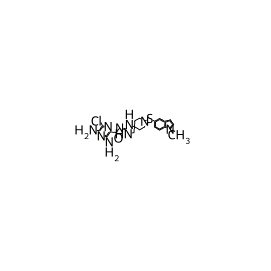 Cn1ccc2cc(SN3CCC4(CC3)CN/C(=N\C(=O)c3nc(Cl)c(N)nc3N)N4)ccc21